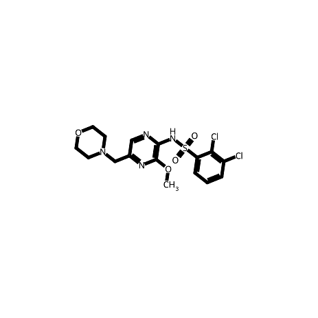 COc1nc(CN2CCOCC2)cnc1NS(=O)(=O)c1cccc(Cl)c1Cl